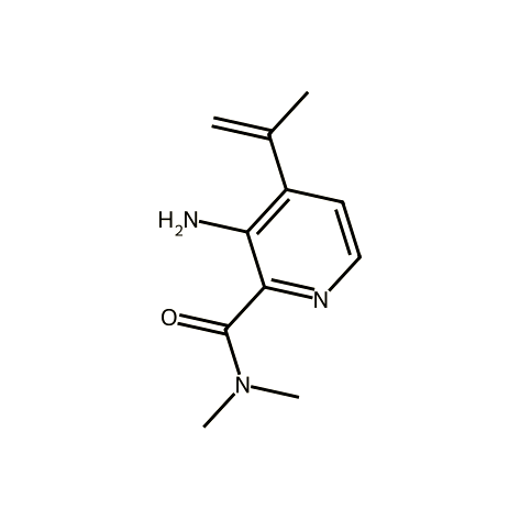 C=C(C)c1ccnc(C(=O)N(C)C)c1N